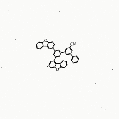 N#Cc1cc(-c2ccccc2)cc(-c2cc(-c3ccc4oc5ccccc5c4c3)cc(-c3cccc4oc5ccccc5c34)c2)c1